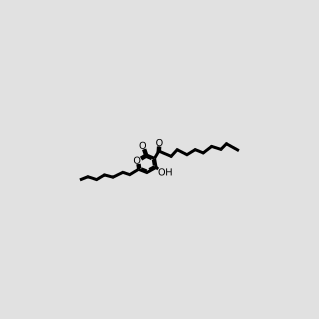 CCCCCCCCCC(=O)c1c(O)cc(CCCCCCC)oc1=O